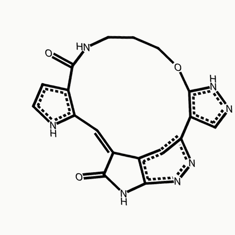 O=C1Nc2nnc3cc2/C1=C/c1[nH]ccc1C(=O)NCCCOc1[nH]ncc1-3